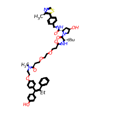 CC/C(=C(\c1ccc(O)cc1)c1ccc(OCCN(C)C(=O)CCOCCOCCC(=O)N[C@H](C(=O)N2C[C@H](O)C[C@H]2C(=O)NCc2ccc(-c3scnc3C)cc2)C(C)(C)C)cc1)c1ccccc1